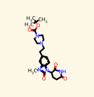 Cn1c(=O)n(C2CCC(=O)NC2=O)c2ccc(CCN3CCN(C(=O)OC(C)(C)C)CC3)cc21